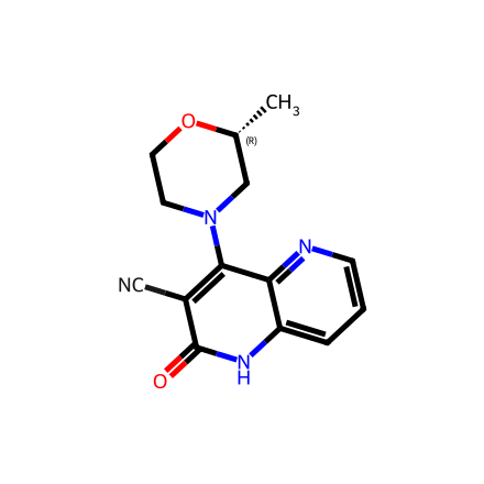 C[C@@H]1CN(c2c(C#N)c(=O)[nH]c3cccnc23)CCO1